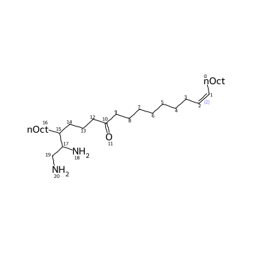 CCCCCCCC/C=C\CCCCCCCC(=O)CCCC(CCCCCCCC)C(N)CN